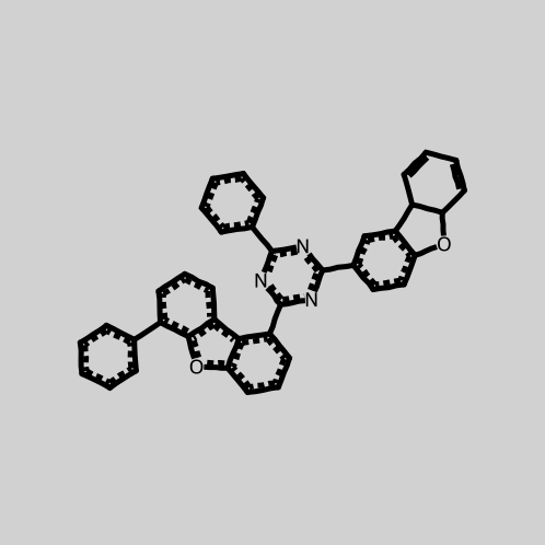 C1=CC2Oc3ccc(-c4nc(-c5ccccc5)nc(-c5cccc6oc7c(-c8ccccc8)cccc7c56)n4)cc3C2C=C1